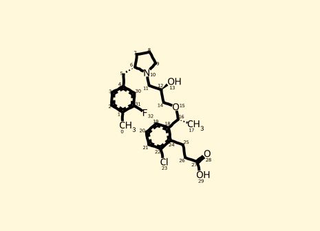 Cc1ccc(C[C@@H]2CCCN2C[C@@H](O)CO[C@H](C)c2cccc(Cl)c2CCC(=O)O)cc1F